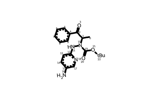 CC(C(=O)c1ccccc1)N(Nc1ccc(N)cn1)C(=O)OC(C)(C)C